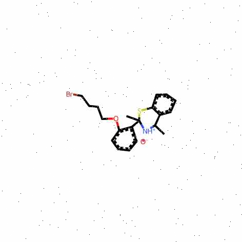 CC1c2ccccc2SC(C)(c2ccccc2OCCCCBr)[NH+]1[O-]